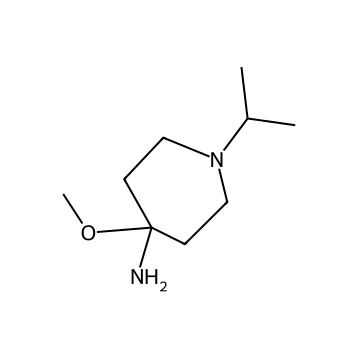 COC1(N)CCN(C(C)C)CC1